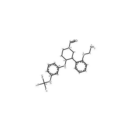 NCOc1ccccc1C1CN(C=O)CCC1Oc1cccc(OC(F)(F)F)c1